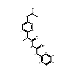 CC(C)Cc1ccc([C@H](C)C(=O)CC(=O)Cc2ccccc2)cc1